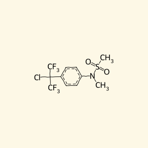 CN(c1ccc(C(Cl)(C(F)(F)F)C(F)(F)F)cc1)S(C)(=O)=O